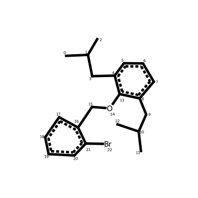 CC(C)Cc1cccc(CC(C)C)c1OCc1ccccc1Br